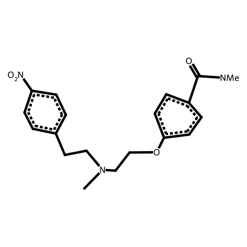 CNC(=O)c1ccc(OCCN(C)CCc2ccc([N+](=O)[O-])cc2)cc1